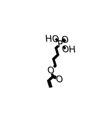 C=CC(=O)OCCCCP(=O)(O)O